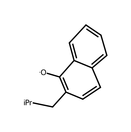 CC(C)Cc1ccc2ccccc2c1[O]